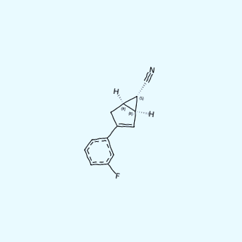 N#C[C@@H]1[C@H]2C=C(c3cccc(F)c3)C[C@@H]12